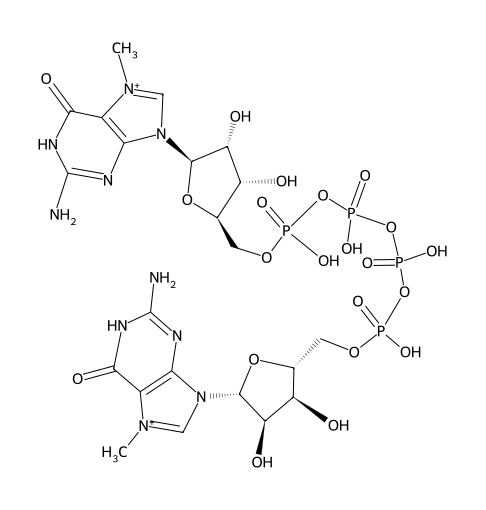 C[n+]1cn([C@@H]2O[C@H](COP(=O)(O)OP(=O)(O)OP(=O)(O)OP(=O)(O)OC[C@H]3O[C@@H](n4c[n+](C)c5c(=O)[nH]c(N)nc54)[C@H](O)[C@@H]3O)[C@@H](O)[C@H]2O)c2nc(N)[nH]c(=O)c21